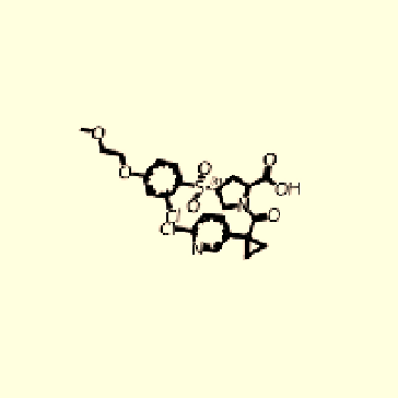 COCCOc1ccc(S(=O)(=O)[C@@H]2CC(C(=O)O)N(C(=O)C3(c4ccc(Cl)nc4)CC3)C2)c(Cl)c1